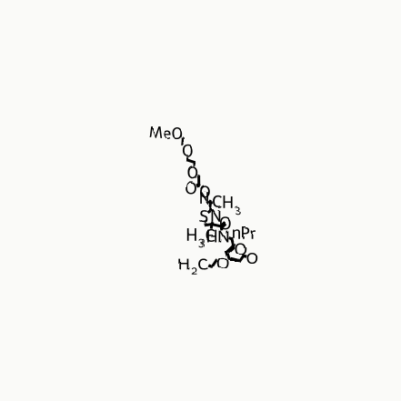 C=CCOc1cc([C@@H](CCC)NC(=O)C2(C)CSC(/C(C)=N/OC(=O)COCCOCCOC)=N2)oc(=O)c1